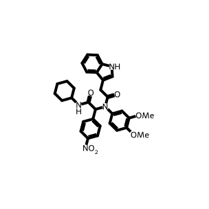 COc1ccc(N(C(=O)Cc2c[nH]c3ccccc23)C(C(=O)NC2CCCCC2)c2ccc([N+](=O)[O-])cc2)cc1OC